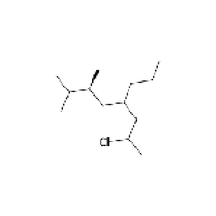 CCCC(CC(C)Cl)C[C@H](C)C(C)C